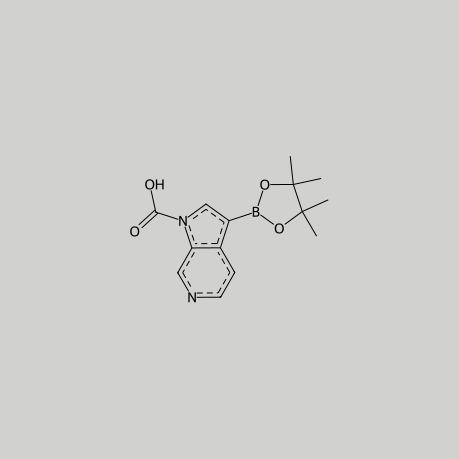 CC1(C)OB(c2cn(C(=O)O)c3cnccc23)OC1(C)C